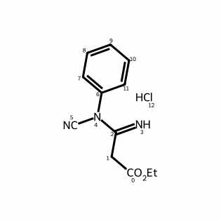 CCOC(=O)CC(=N)N(C#N)c1ccccc1.Cl